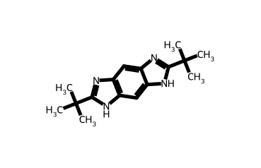 CC(C)(C)c1nc2cc3nc(C(C)(C)C)[nH]c3cc2[nH]1